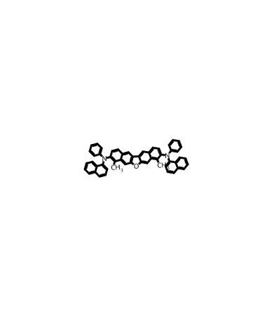 Cc1c(N(c2ccccc2)c2cccc3ccccc23)ccc2cc3c(cc12)oc1cc2c(C)c(N(c4ccccc4)c4cccc5ccccc45)ccc2cc13